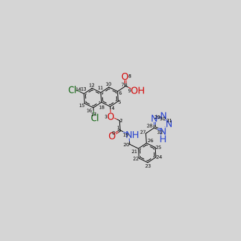 O=C(COc1cc(C(=O)O)cc2cc(Cl)cc(Cl)c12)NCc1ccccc1Cc1nnn[nH]1